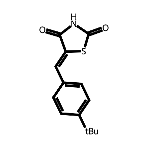 CC(C)(C)c1ccc(/C=C2\SC(=O)NC2=O)cc1